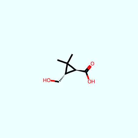 CC1(C)[C@@H](CO)[C@@H]1C(=O)O